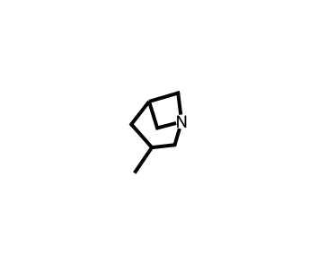 CC1CC2CN(C1)C2